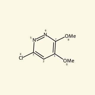 COc1cc(Cl)nnc1OC